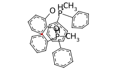 C[PH](Oc1ccccc1O[PH](C)(c1ccccc1)c1ccccc1)(c1ccccc1)c1ccccc1